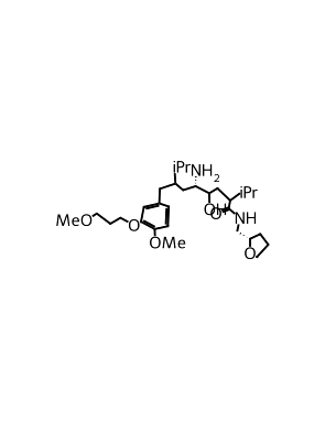 COCCCOc1cc(CC(C[C@H](N)C(O)CC(C(=O)NC[C@@H]2CCCO2)C(C)C)C(C)C)ccc1OC